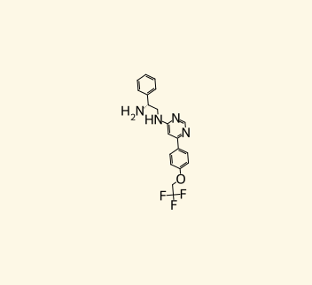 N[C@@H](CNc1cc(-c2ccc(OCC(F)(F)F)cc2)ncn1)c1ccccc1